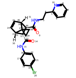 O=C(NCCc1ccccn1)[C@H]1[C@H](C(=O)Nc2ccc(Br)cc2)[C@@H]2C=C[C@H]1C21CC1